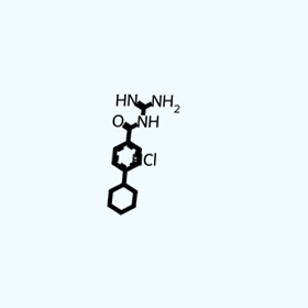 Cl.N=C(N)NC(=O)c1ccc(C2CCCCC2)cc1